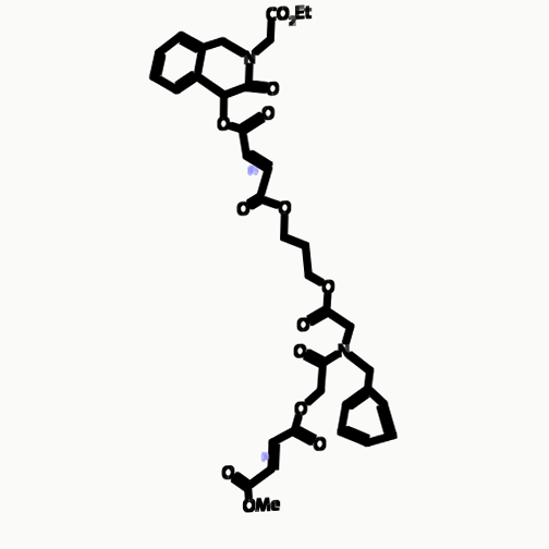 CCOC(=O)CN1Cc2ccccc2C(OC(=O)/C=C/C(=O)OCCCOC(=O)CN(Cc2ccccc2)C(=O)COC(=O)/C=C/C(=O)OC)C1=O